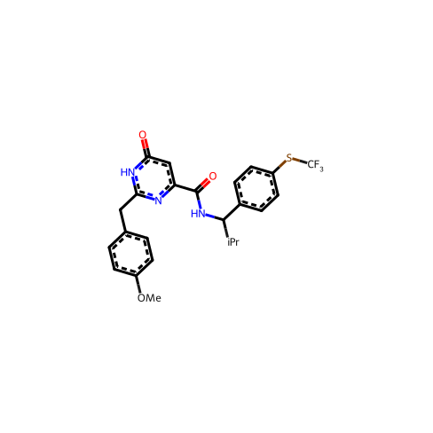 COc1ccc(Cc2nc(C(=O)NC(c3ccc(SC(F)(F)F)cc3)C(C)C)cc(=O)[nH]2)cc1